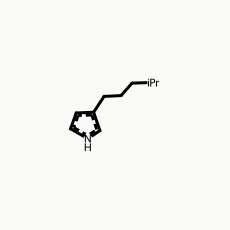 CC(C)CCCc1cc[nH]c1